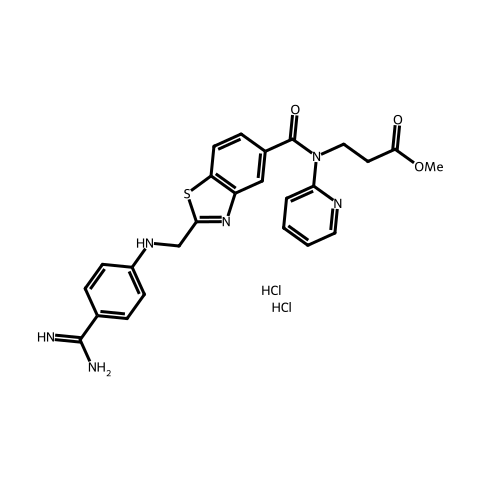 COC(=O)CCN(C(=O)c1ccc2sc(CNc3ccc(C(=N)N)cc3)nc2c1)c1ccccn1.Cl.Cl